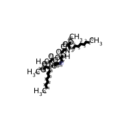 CCCCCCCC[C@H](N[C@@H](C)C(=O)OC(=O)/C=C\C(=O)OC(=O)[C@H](C)N[C@@H](CCCCCCCC)C(=O)OCC)C(=O)OCC